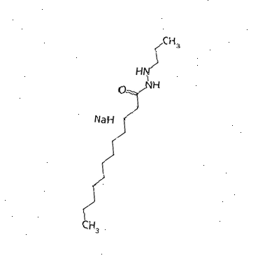 CCCCCCCCCCCC(=O)NNCCC.[NaH]